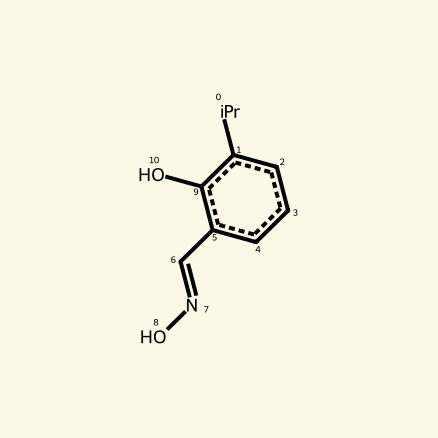 CC(C)c1cccc(/C=N/O)c1O